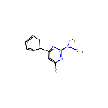 CN(C)c1nc(Cl)cc(-c2ccccc2)n1